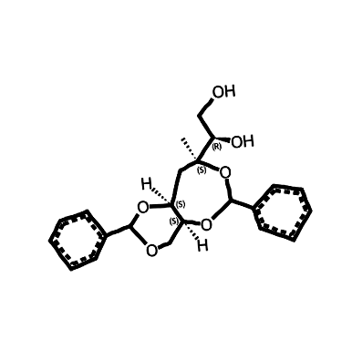 C[C@@]1([C@H](O)CO)C[C@@H]2OC(c3ccccc3)OC[C@@H]2OC(c2ccccc2)O1